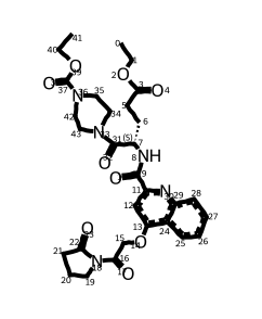 CCOC(=O)CC[C@H](NC(=O)c1cc(OCC(=O)N2CCCC2=O)c2ccccc2n1)C(=O)N1CCN(C(=O)OCC)CC1